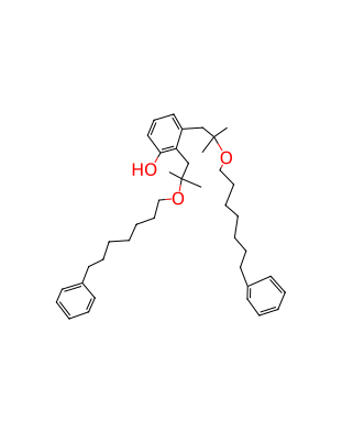 CC(C)(Cc1cccc(O)c1CC(C)(C)OCCCCCCCc1ccccc1)OCCCCCCCc1ccccc1